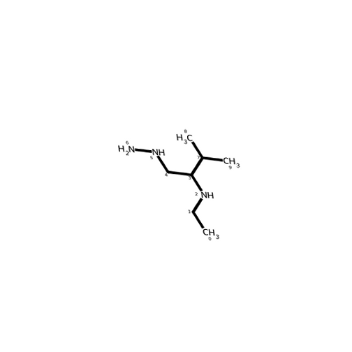 CCNC(CNN)C(C)C